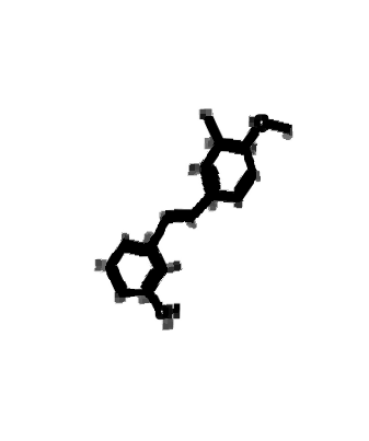 COc1ccc(C=Cc2cccc(O)c2)cc1C